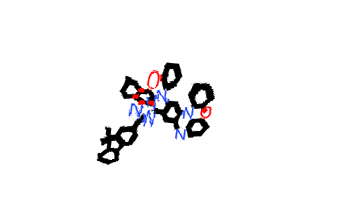 CC1(C)C2=CC=CCC2c2ccc(-c3nc(-c4ccccc4)nc(-c4cc(C#N)c(N5c6ccccc6OC6C=CC=CC65)cc4N4c5ccccc5Oc5ccccc54)n3)cc21